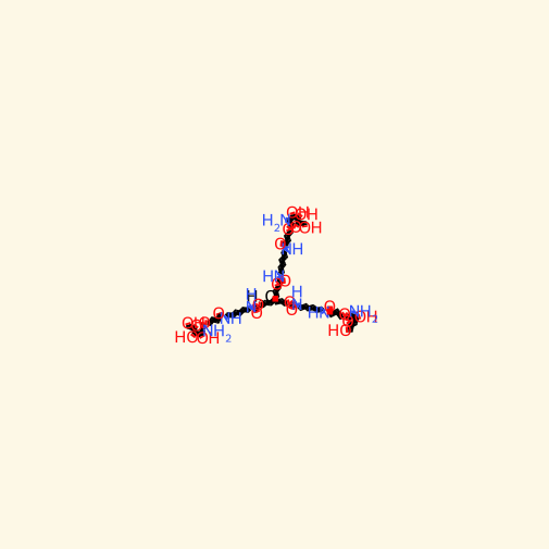 CC(CCCOC(=O)NCCCCCCNC(=O)CCCOC1OC(CO)CC(O)C1N)(CCCOC(=O)NCCCCCCNC(=O)CCCOC1OC(CO)C(O)C(O)C1N)CCCOC(=O)NCCCCCCNC(=O)CCCOC1OC(CO)C(O)C(O)C1N